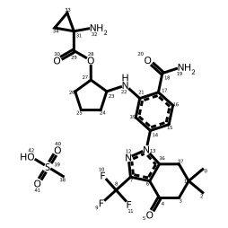 CC1(C)CC(=O)c2c(C(F)(F)F)nn(-c3ccc(C(N)=O)c(NC4CCCC4OC(=O)C4(N)CC4)c3)c2C1.CS(=O)(=O)O